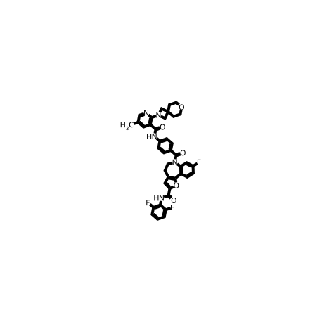 Cc1cnc(N2CC3(CCOCC3)C2)c(C(=O)Nc2ccc(C(=O)N3CCc4cc(C(=O)Nc5c(F)cccc5F)oc4-c4ccc(F)cc43)cc2)c1